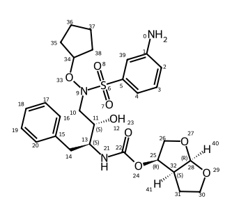 Nc1cccc(S(=O)(=O)N(C[C@H](O)[C@H](Cc2ccccc2)NC(=O)O[C@H]2CO[C@H]3OCC[C@H]32)OC2CCCC2)c1